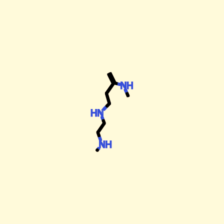 C=C(CCNCCNC)NC